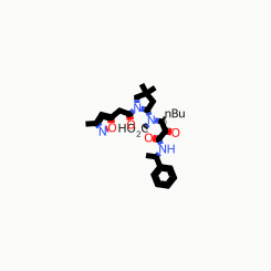 CCCC[C@@H](C(=O)C(=O)NC(C)c1ccccc1)N(C(=O)O)C1CC(C)(C)CN1C(=O)Cc1cc(C)no1